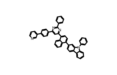 c1ccc(-c2nc(-c3ccc(-c4cccnc4)cc3)cc(-c3ccc(-c4ccc5c6ccccc6n(-c6ccccc6)c5c4)c4ccccc34)n2)cc1